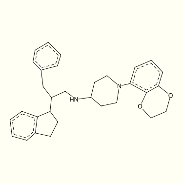 c1ccc(CC(CNC2CCN(c3cccc4c3OCCO4)CC2)C2CCc3ccccc32)cc1